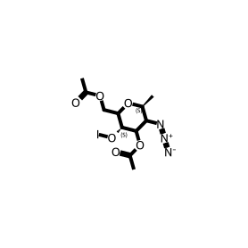 CC(=O)OCC1O[C@@H](C)C(N=[N+]=[N-])C(OC(C)=O)[C@@H]1OI